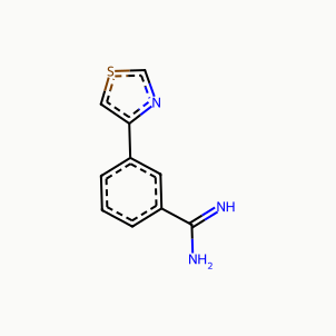 N=C(N)c1cccc(-c2cscn2)c1